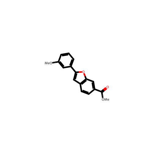 COC(=O)c1ccc2cc(-c3cccc(OC)c3)oc2c1